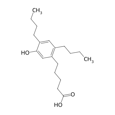 CCCCc1cc(CCCC)c(CCCCC(=O)O)cc1O